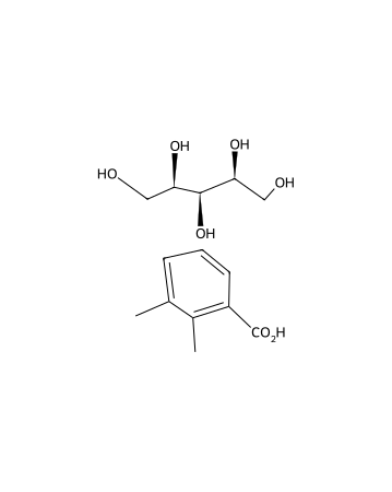 Cc1cccc(C(=O)O)c1C.OC[C@@H](O)[C@H](O)[C@@H](O)CO